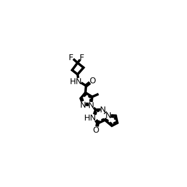 Cc1c(C(=O)NC2CC(F)(F)C2)cnn1-c1nn2cccc2c(=O)[nH]1